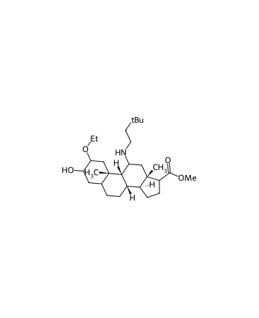 CCOC1C[C@@]2(C)C(CC[C@@H]3[C@H]2C(NCCC(C)(C)C)C[C@]2(C)C(C(=O)OC)CC[C@@H]32)CC1O